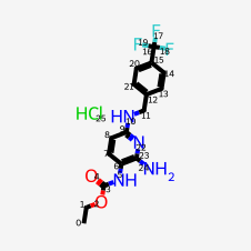 CCOC(=O)Nc1ccc(NCc2ccc(C(F)(F)F)cc2)nc1N.Cl